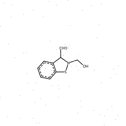 O=CC1c2ccccc2SN1CO